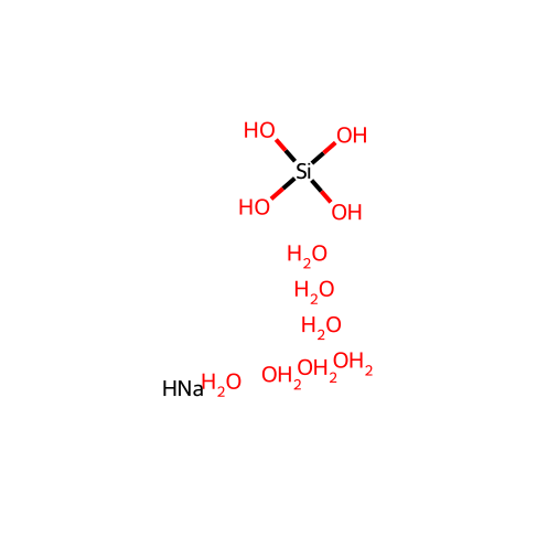 O.O.O.O.O.O.O.O[Si](O)(O)O.[NaH]